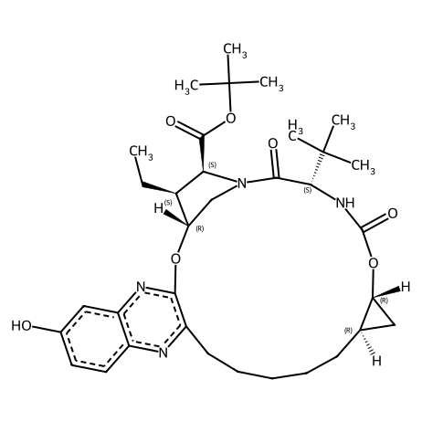 CC[C@@H]1[C@@H]2CN(C(=O)[C@H](C(C)(C)C)NC(=O)O[C@@H]3C[C@H]3CCCCCc3nc4ccc(O)cc4nc3O2)[C@@H]1C(=O)OC(C)(C)C